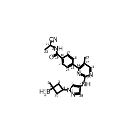 BC1(C)CC(n2cc(Nc3ncc(C)c(-c4ccc(C(=O)N[C@@H](C)C#N)cc4)n3)cn2)C1